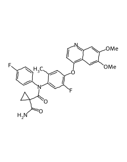 COc1cc2nccc(Oc3cc(C)c(N(C(=O)C4(C(N)=O)CC4)c4ccc(F)cc4)cc3F)c2cc1OC